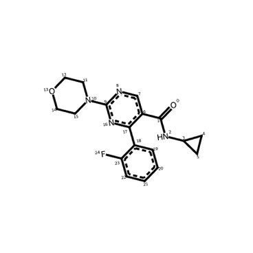 O=C(NC1CC1)c1cnc(N2CCOCC2)nc1-c1ccccc1F